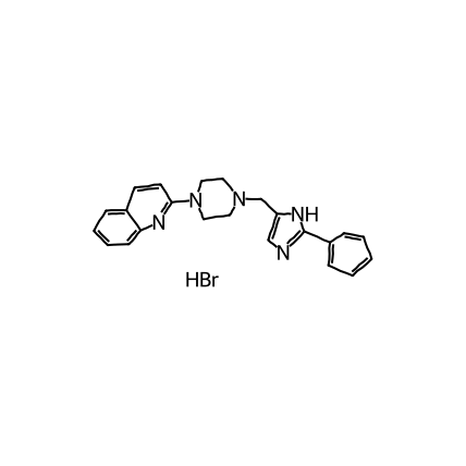 Br.c1ccc(-c2ncc(CN3CCN(c4ccc5ccccc5n4)CC3)[nH]2)cc1